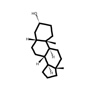 C[C@]12CC[C@@H](O)C[C@H]1CC[C@@H]1[C@@H]2CC[C@]2(C)[CH]CC[C@@H]12